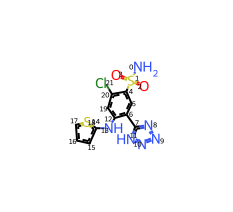 NS(=O)(=O)c1cc(-c2nnn[nH]2)c(Nc2cccs2)cc1Cl